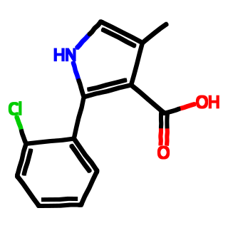 Cc1c[nH]c(-c2ccccc2Cl)c1C(=O)O